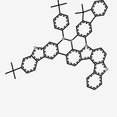 CC(C)(C)c1ccc(N2B3c4cc5c(cc4-n4c6ccc7oc8ccccc8c7c6c6ccc(c3c64)-c3cc4c(cc32)oc2cc(C(C)(C)C)ccc24)-c2ccccc2C5(C)C)cc1